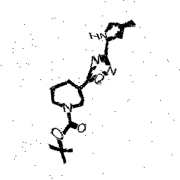 Cc1c[nH]c(-c2noc(C3CCCN(C(=O)OC(C)(C)C)C3)n2)c1